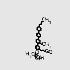 CCCCCC1CCC(c2ccc(-c3ccc(-c4ccc(OCC(C)(CO)CO)c(CCCOC=O)c4)c(CC)c3)cc2)CC1